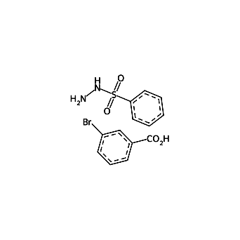 NNS(=O)(=O)c1ccccc1.O=C(O)c1cccc(Br)c1